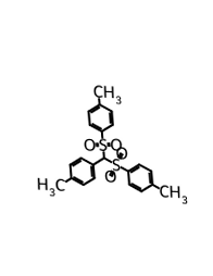 Cc1ccc(C(S(=O)(=O)c2ccc(C)cc2)S(=O)(=O)c2ccc(C)cc2)cc1